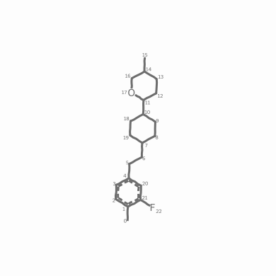 Cc1ccc(CCC2CCC(C3CCC(C)CO3)CC2)cc1F